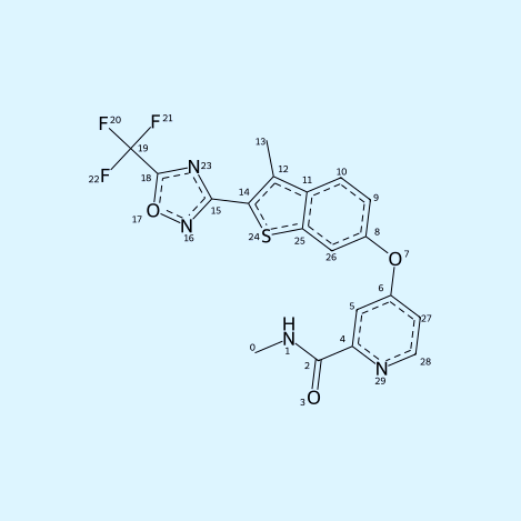 CNC(=O)c1cc(Oc2ccc3c(C)c(-c4noc(C(F)(F)F)n4)sc3c2)ccn1